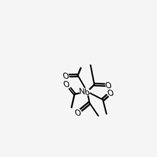 C[C](=O)[Nb]([C](C)=O)([C](C)=O)([C](C)=O)[C](C)=O